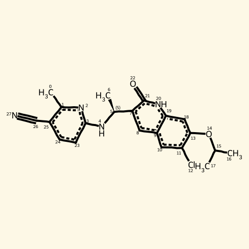 Cc1nc(N[C@@H](C)c2cc3cc(Cl)c(OC(C)C)cc3[nH]c2=O)ccc1C#N